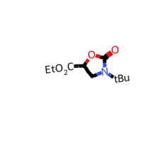 CCOC(=O)C1CN(C(C)(C)C)C(=O)O1